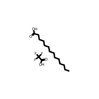 CCCCCCCCCCCCCC(=O)O.O=C(O)C(F)(F)F